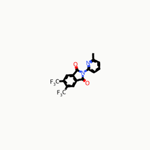 Cc1cccc(N2C(=O)c3cc(C(F)(F)F)c(C(F)(F)F)cc3C2=O)n1